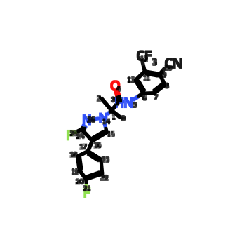 CC(C)(C(=O)Nc1ccc(C#N)c(C(F)(F)F)c1)n1cc(-c2ccc(F)cc2)c(F)n1